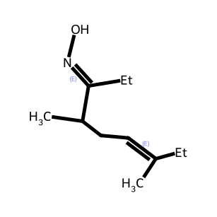 CC/C(C)=C/CC(C)/C(CC)=N/O